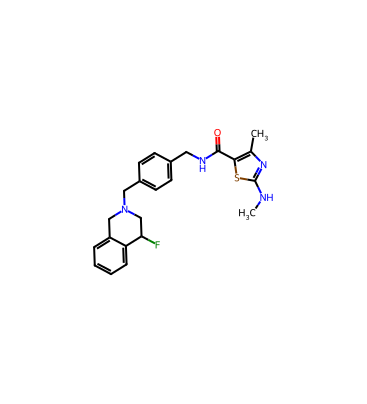 CNc1nc(C)c(C(=O)NCc2ccc(CN3Cc4ccccc4C(F)C3)cc2)s1